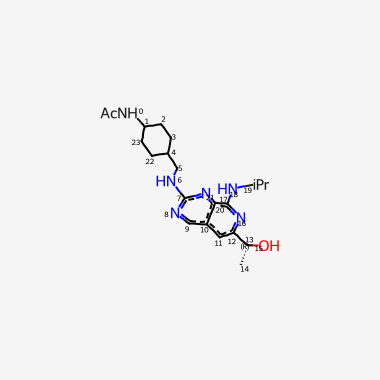 CC(=O)NC1CCC(CNc2ncc3cc([C@@H](C)O)nc(NC(C)C)c3n2)CC1